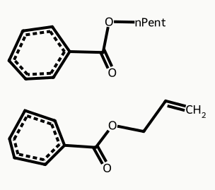 C=CCOC(=O)c1ccccc1.CCCCCOC(=O)c1ccccc1